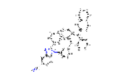 N#Cc1ccc2c(c1)nc(-c1ccccc1)n2-c1cccc(-c2c3ccccc3c(-c3ccc4ccccc4c3)c3ccccc23)c1